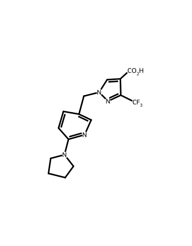 O=C(O)c1cn(Cc2ccc(N3CCCC3)nc2)nc1C(F)(F)F